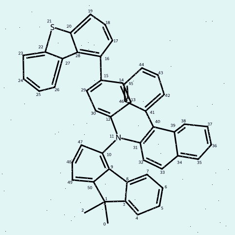 CC1(C)c2ccccc2-c2c(N(c3ccc(-c4cccc5sc6ccccc6c45)cc3)c3ccc4ccccc4c3-c3ccccc3)cccc21